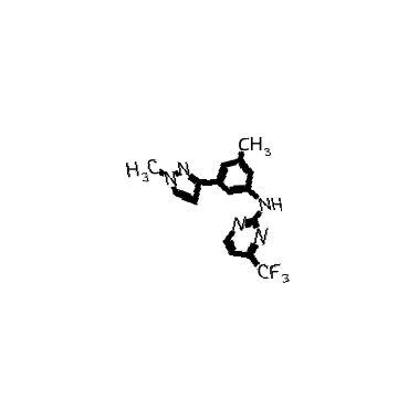 Cc1cc(Nc2nccc(C(F)(F)F)n2)cc(-c2ccn(C)n2)c1